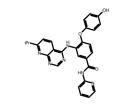 CC(C)c1ccc2c(Nc3cc(C(=O)Nc4ccccn4)ccc3Oc3ccc(O)cc3)ncnc2n1